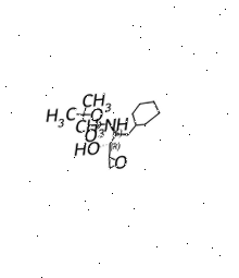 CC(C)(C)OC(=O)N[C@@H](CC1CCCCC1)[C@@H](O)C1CO1